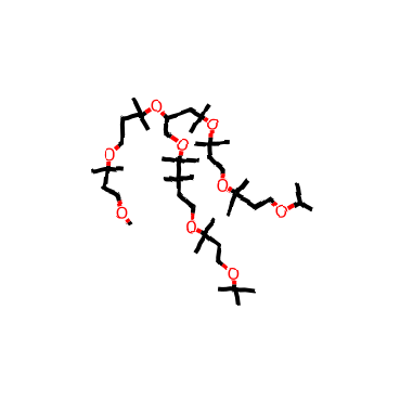 COCCC(C)(C)OCCC(C)(C)OC(COC(C)(C)C(C)(C)CCOC(C)(C)CCOC(C)(C)C)CC(C)(C)OC(C)(C)CCOC(C)(C)CCOC(C)C